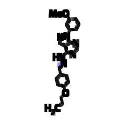 C=CCOc1ccc(/C=N/Nc2ncnc3c2cnn3-c2cccc(OC)c2)cc1